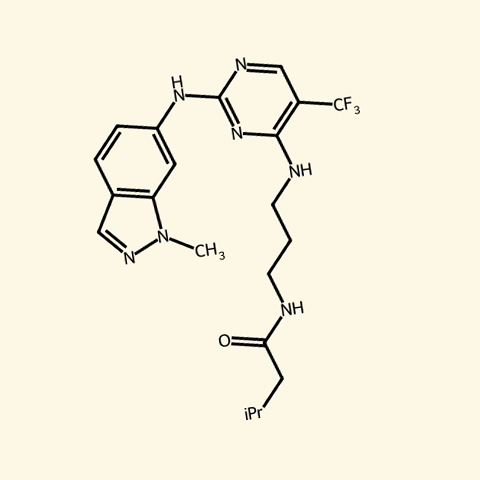 CC(C)CC(=O)NCCCNc1nc(Nc2ccc3cnn(C)c3c2)ncc1C(F)(F)F